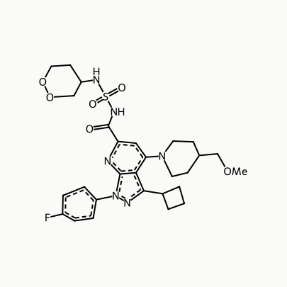 COCC1CCN(c2cc(C(=O)NS(=O)(=O)NC3CCOOC3)nc3c2c(C2CCC2)nn3-c2ccc(F)cc2)CC1